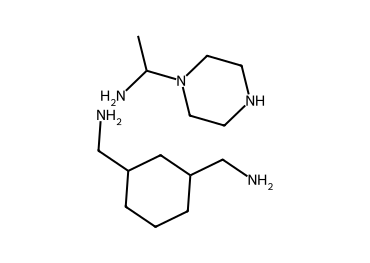 CC(N)N1CCNCC1.NCC1CCCC(CN)C1